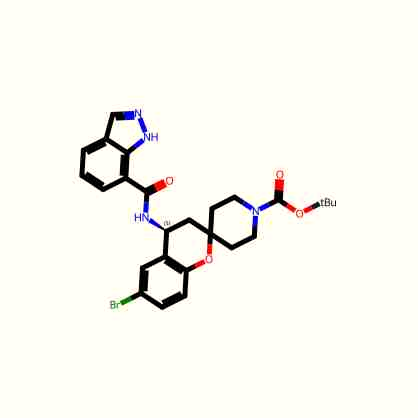 CC(C)(C)OC(=O)N1CCC2(CC1)C[C@H](NC(=O)c1cccc3cn[nH]c13)c1cc(Br)ccc1O2